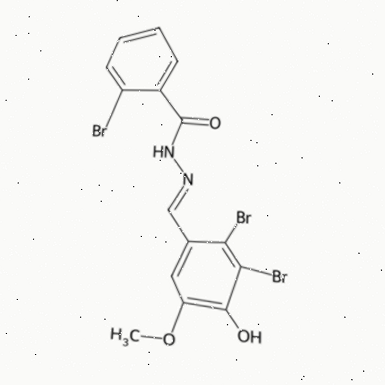 COc1cc(/C=N/NC(=O)c2ccccc2Br)c(Br)c(Br)c1O